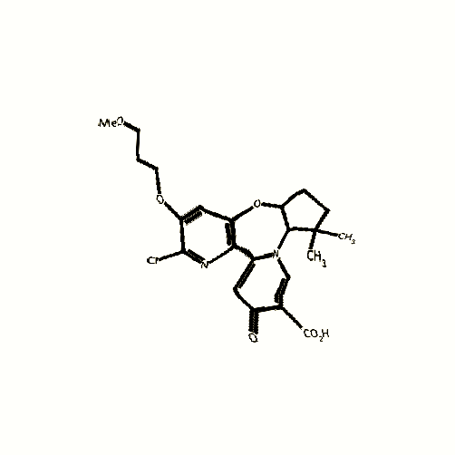 COCCCOc1cc2c(nc1Cl)-c1cc(=O)c(C(=O)O)cn1C1C(CCC1(C)C)O2